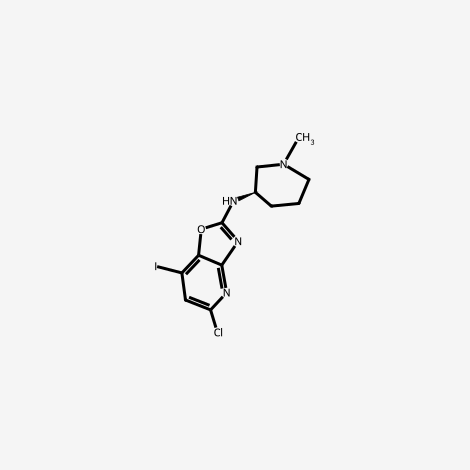 CN1CCC[C@@H](Nc2nc3nc(Cl)cc(I)c3o2)C1